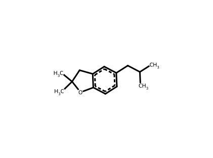 CC(C)Cc1ccc2c(c1)CC(C)(C)O2